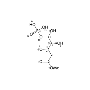 COC(=O)C[C@H](O)[C@H](O)C(O)OP(=O)(O)O